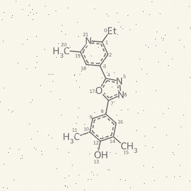 CCc1cc(-c2nnc(-c3cc(C)c(O)c(C)c3)o2)cc(C)n1